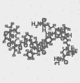 CCNC(=O)C1CCN(CCCC(=O)N[C@H](C(=O)N[C@@H](CCCNC(N)=O)C(=O)Nc2ccc(CNC(=O)[C@H](Cc3ccccc3)NC(=O)[C@H](C)[C@@H](OC)[C@@H]3CCCN3C(=O)C[C@@H](OC)[C@H]([C@@H](C)CC)N(C)C(=O)[C@@H](NC(=O)[C@H](C(C)C)N(C)C)C(C)C)cc2)C(C)C)C(C(F)(F)F)C1